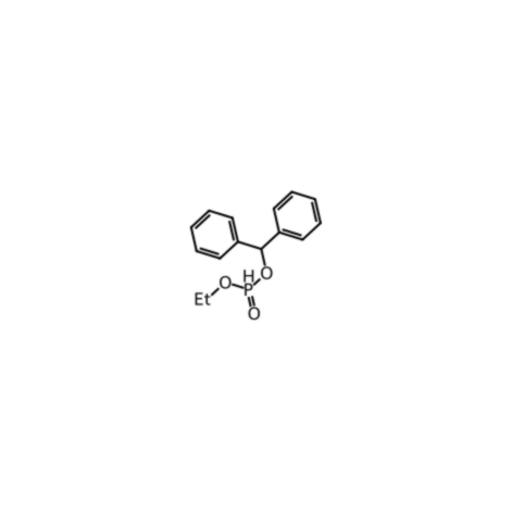 CCO[PH](=O)OC(c1ccccc1)c1ccccc1